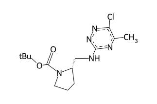 Cc1nc(NC[C@@H]2CCCN2C(=O)OC(C)(C)C)nnc1Cl